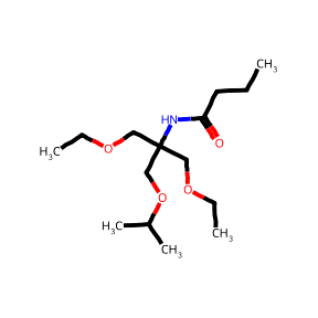 CCCC(=O)NC(COCC)(COCC)COC(C)C